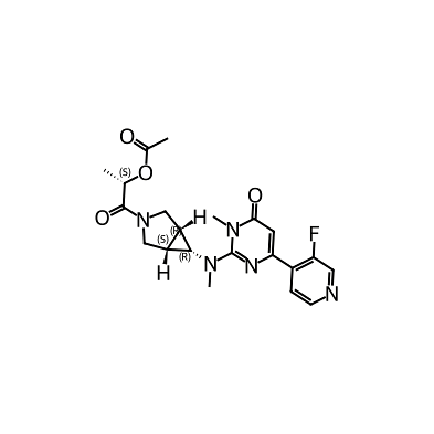 CC(=O)O[C@@H](C)C(=O)N1C[C@@H]2[C@H](C1)[C@@H]2N(C)c1nc(-c2ccncc2F)cc(=O)n1C